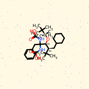 CC(C)(C)[C@H](CC1CCCCC1)[C@H](O[Si](C)(C)C(C)(C)C)C(Cc1ccccc1)(NC(=O)O)NC(=O)O